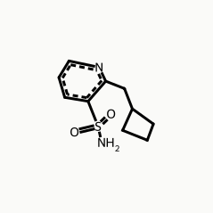 NS(=O)(=O)c1cccnc1CC1CCC1